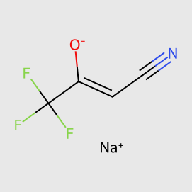 N#CC=C([O-])C(F)(F)F.[Na+]